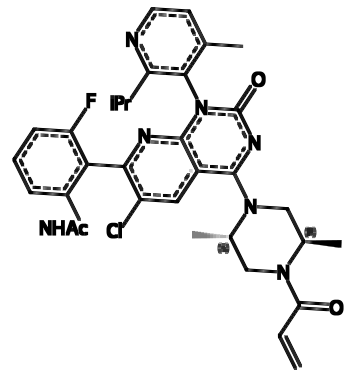 C=CC(=O)N1C[C@H](C)N(c2nc(=O)n(-c3c(C)ccnc3C(C)C)c3nc(-c4c(F)cccc4NC(C)=O)c(Cl)cc23)C[C@H]1C